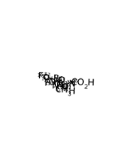 Cc1nc(OCc2ccc(F)cc2F)c(Br)c(=O)n1-c1cccc(CNC(=O)O)c1